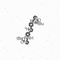 [2H]N1C(c2ccc3nc(C4CCCN4C(=O)OC(C)(C)C)[nH]c3c2)CCC1c1ccc2nc(C3CCCN3C(=O)OC(C)(C)C)[nH]c2c1